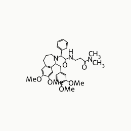 COc1ccc(CC2c3cc(OC)c(OC)cc3CCCN2C(C(=O)NCCC(=O)N(C)C)c2ccccc2)cc1OC